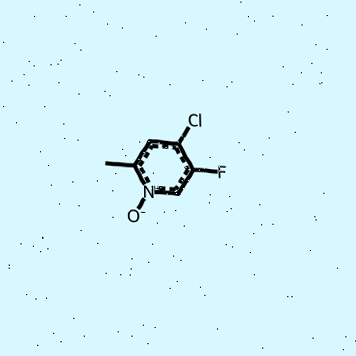 Cc1cc(Cl)c(F)c[n+]1[O-]